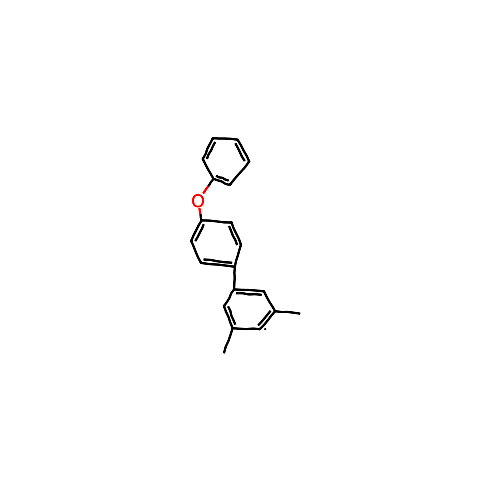 Cc1[c]c(C)cc(-c2ccc(Oc3ccccc3)cc2)c1